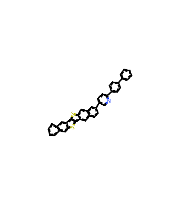 c1ccc(-c2ccc(-c3ccc(-c4ccc5cc6c(cc5c4)sc4c5cc7ccccc7cc5sc64)cn3)cc2)cc1